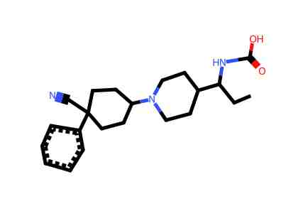 CCC(NC(=O)O)C1CCN(C2CCC(C#N)(c3ccccc3)CC2)CC1